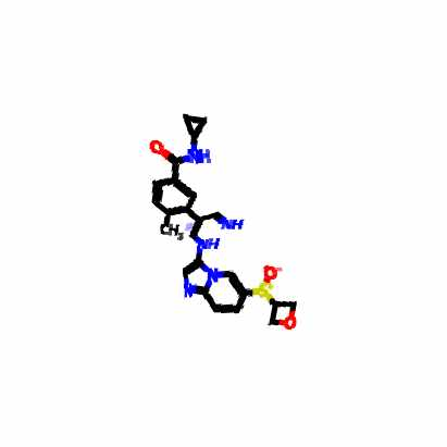 Cc1ccc(C(=O)NC2CC2)cc1/C(C=N)=C/Nc1cnc2ccc([S+]([O-])C3COC3)cn12